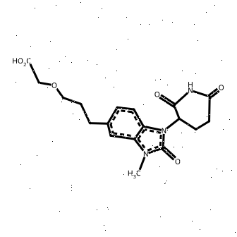 Cn1c(=O)n(C2CCC(=O)NC2=O)c2ccc(CCCOCC(=O)O)cc21